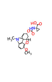 COc1ccc2c3c1O[C@H]1C[C@@H](OC(=O)NC4(C(=O)O)CC4)C=C[C@@]31CCN(C)C2